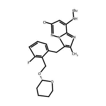 Cc1nc2c(NC(C)(C)C)cc(Cl)nn2c1Cc1cccc(F)c1CO[C@H]1CCCCO1